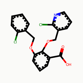 O=C(O)c1cccc(OCc2ccccc2Cl)c1OCc1cccnc1Cl